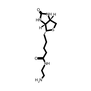 NCCNC(=O)CCCC[C@H]1SC[C@H]2NC(=O)N[C@H]21